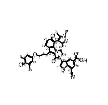 Cc1cc(OCCCc2c3n(c4c(-c5c(C)nn(C)c5C)c(Cl)ccc24)[C@H](C)CN(c2cn(C)c4c(C#N)cc(C(=O)O)cc24)C3=O)cc(C)c1Cl